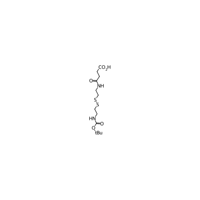 CC(C)(C)OC(=O)NCCSSCCNC(=O)CCC(=O)O